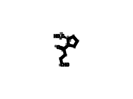 O=CCCC(=O)N1CCC[C@H]1C(=O)O